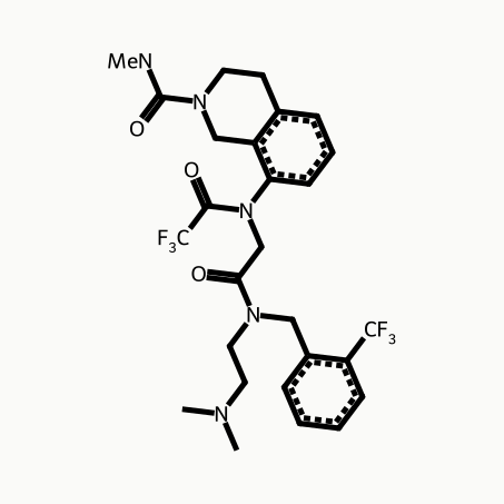 CNC(=O)N1CCc2cccc(N(CC(=O)N(CCN(C)C)Cc3ccccc3C(F)(F)F)C(=O)C(F)(F)F)c2C1